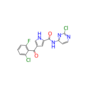 O=C(Nc1ccnc(Cl)n1)c1cc(C(=O)c2c(F)cccc2Cl)c[nH]1